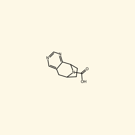 O=C(O)N1C2CCC1c1ncncc1C2